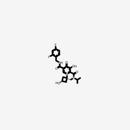 CC(C)N1C[C@]2(C[C@H](O)C2)n2cc(C(=O)NCc3ccc(F)cc3F)c(=O)c(O)c2C1=O